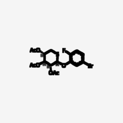 CC(=O)O[C@@H]1[C@@H](OC(C)=O)[C@H](OC(C)=O)CS[C@H]1Oc1cc(Br)ccc1F